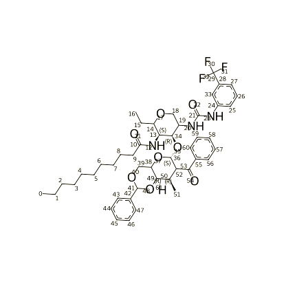 CCCCCCCCCCC(=O)N[C@H]1C(CC)OCC(NC(=O)Nc2cccc(C(F)(F)F)c2)[C@H]1O[C@H]1OC2COC(c3ccccc3)O[C@@H]2[C@H](C)C1C(=O)c1ccccc1